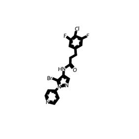 O=C(CCc1cc(F)c(Cl)c(F)c1)Nc1cnn(-c2ccncc2)c1Br